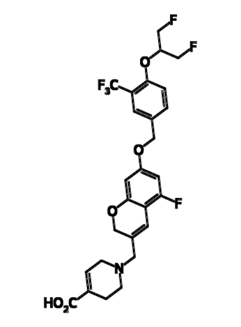 O=C(O)C1=CCN(CC2=Cc3c(F)cc(OCc4ccc(OC(CF)CF)c(C(F)(F)F)c4)cc3OC2)CC1